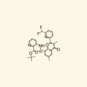 Cc1cc([C@@H](C)Nc2cccnc2C(=O)OC(C)(C)C)c2oc(-c3cccc(C(F)F)n3)c(C)c(=O)c2c1